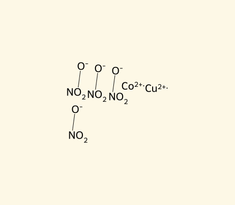 O=[N+]([O-])[O-].O=[N+]([O-])[O-].O=[N+]([O-])[O-].O=[N+]([O-])[O-].[Co+2].[Cu+2]